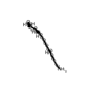 NCCOCCOCCOCCOCCOCCNC(=O)CCOCCOCCOCCOCCOCCOCCN1C=C(CNC(=O)CCCC[C@@H]2SCC3NC(=O)N[C@H]32)NN1